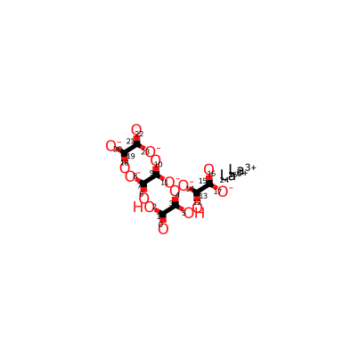 O=C(O)C(=O)O.O=C([O-])C(=O)[O-].O=C([O-])C(=O)[O-].O=C([O-])C(=O)[O-].[La+3].[La+3]